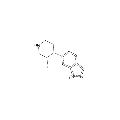 FC1CNCCC1c1ccc2cn[nH]c2c1